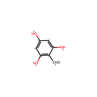 O=[C]c1c(O)cc(O)cc1O